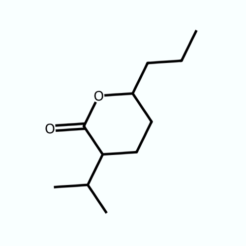 CCCC1CCC(C(C)C)C(=O)O1